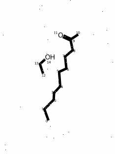 CCCCCCCCCC(C)=O.CCO